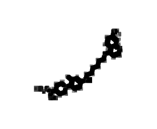 Cc1cc(NCCCCCCSc2ccnc3cc(C(F)(F)F)ccc23)ccc1N1CCC(N(C(=O)O)C(C)(C)C)CC1